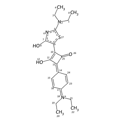 CCN(CC)c1nc(O)c(C2=C(O)C(=C3C=CC(=[N+](CC)CC)C=C3)C2=O)s1